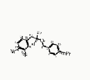 CCCc1ccc(COC(F)(F)Cc2ccc(C#N)c(F)c2)cc1